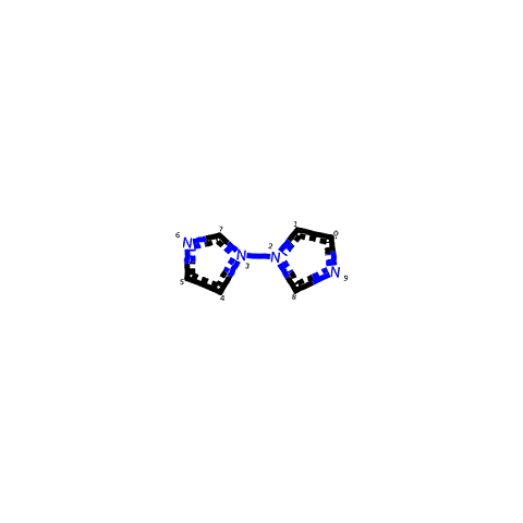 [c]1cn(-n2ccnc2)cn1